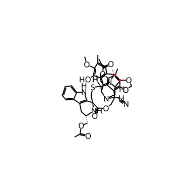 COc1c(C)cc2c(c1O)[C@H]1C3[C@@H]4SC[C@]5(N[C@H](COC(C)=O)Cc6c5[nH]c5ccccc65)C(=O)OC[C@@H](c5c6c(c(C)c(OC(C)=O)c54)OCO6)N3[C@@H](C#N)[C@@H]3C[C@@]2(C)N13